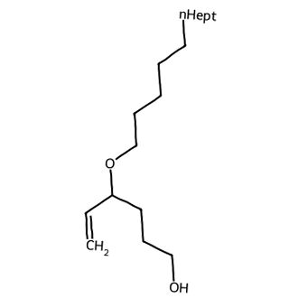 C=CC(CCCO)OCCCCCCCCCCCC